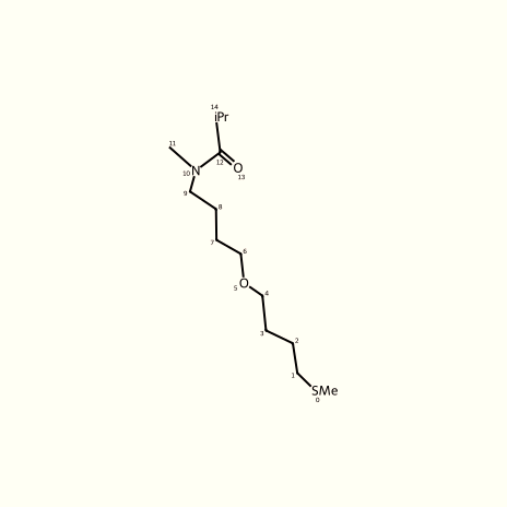 CSCCCCOCCCCN(C)C(=O)C(C)C